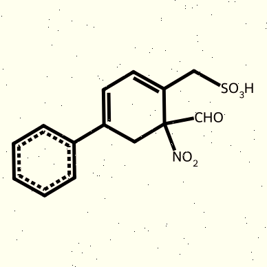 O=CC1([N+](=O)[O-])CC(c2ccccc2)=CC=C1CS(=O)(=O)O